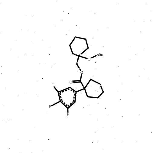 CCCCOC1(COC(=O)C2(c3cc(F)c(F)c(F)c3)CCCCC2)CCCCC1